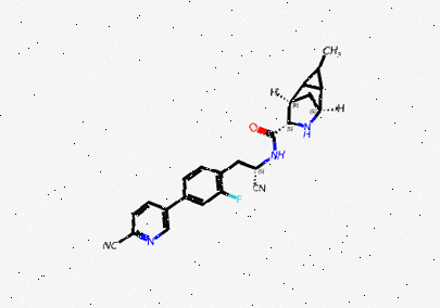 CC1C2C1[C@H]1C[C@@H]2N[C@@H]1C(=O)N[C@H](C#N)Cc1ccc(-c2ccc(C#N)nc2)cc1F